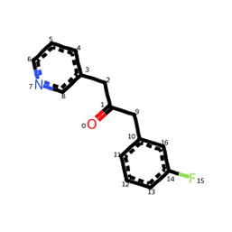 O=C(Cc1cccnc1)Cc1cccc(F)c1